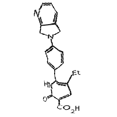 CCc1cc(C(=O)O)c(=O)[nH]c1-c1ccc(N2Cc3cccnc3C2)cc1